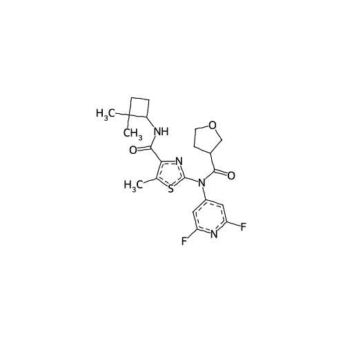 Cc1sc(N(C(=O)C2CCOC2)c2cc(F)nc(F)c2)nc1C(=O)NC1CCC1(C)C